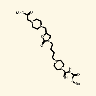 COC(=O)CN1CCN(CC2CN(CCCCN3CCN(C(=N)NC(=O)OC(C)(C)C)CC3)C(=O)O2)CC1